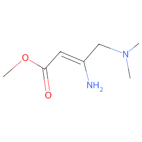 COC(=O)C=C(N)CN(C)C